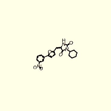 O=C1N/C(=C/c2ccc(-c3cccc([N+](=O)[O-])c3)o2)C(=O)N1C1CCCCC1